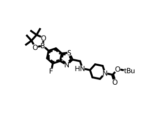 CC(C)(C)OC(=O)N1CCC(NCc2nc3c(F)cc(B4OC(C)(C)C(C)(C)O4)cc3s2)CC1